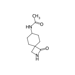 CC(=O)NC1CCC2(CC1)CNC2=O